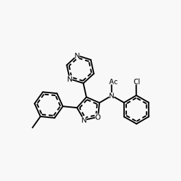 CC(=O)N(c1ccccc1Cl)c1onc(-c2cccc(C)c2)c1-c1ccncn1